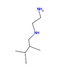 CC(C)C(C)CNCCN